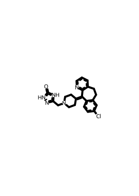 O=c1[nH]nc(CN2CCC(=C3c4ccc(Cl)cc4CCc4cccnc43)CC2)[nH]1